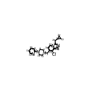 Clc1c(CN2CCN(c3ccccn3)CC2)ccn2c(CC3CC3)nnc12